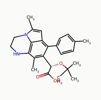 Cc1ccc(-c2c([C@H](OC(C)(C)C)C(=O)O)c(C)c3c4c2cc(C)n4CCN3)cc1